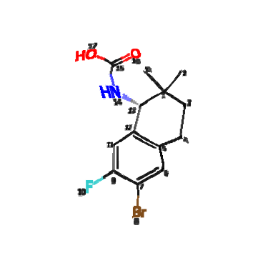 CC1(C)CCc2cc(Br)c(F)cc2[C@@H]1NC(=O)O